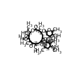 CC[C@H]1OC(=O)[C@H](C)[C@@H](O[C@H]2C[C@@](C)(OC)[C@@H](O)[C@H](C)O2)C[C@@H](O[C@@H]2O[C@H](C)C[C@H](NC)[C@H]2O)[C@](C)(O)C[C@@H](C)C(=O)[C@H](C)[C@@H](O)[C@]1(C)O